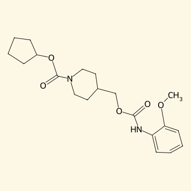 COc1ccccc1NC(=O)OCC1CCN(C(=O)OC2CCCC2)CC1